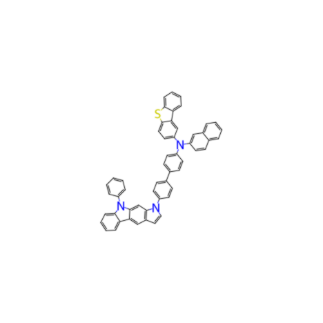 c1ccc(-n2c3ccccc3c3cc4ccn(-c5ccc(-c6ccc(N(c7ccc8ccccc8c7)c7ccc8sc9ccccc9c8c7)cc6)cc5)c4cc32)cc1